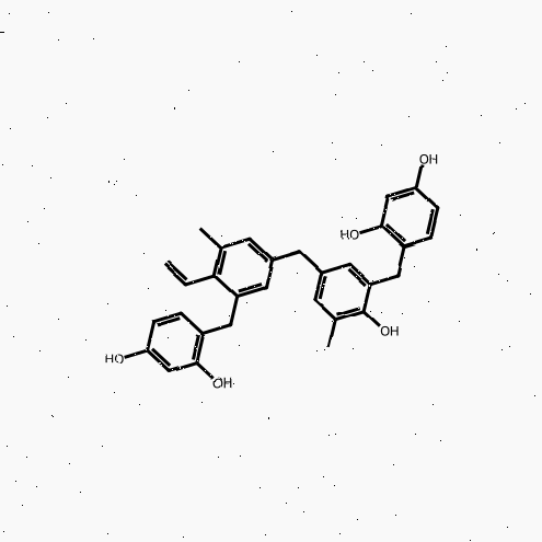 C=Cc1c(C)cc(Cc2cc(C)c(O)c(Cc3ccc(O)cc3O)c2)cc1Cc1ccc(O)cc1O